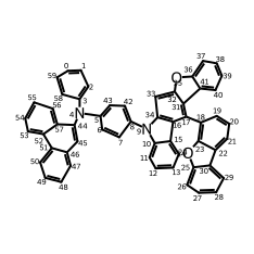 c1ccc(N(c2ccc(-n3c4ccccc4c4c(-c5cccc6c5oc5ccccc56)c5c(cc43)oc3ccccc35)cc2)c2cc3ccccc3c3ccccc23)cc1